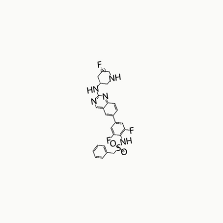 O=S(=O)(Cc1ccccc1)Nc1c(F)cc(-c2ccc3nc(NC4CNC[C@@H](F)C4)ncc3c2)cc1F